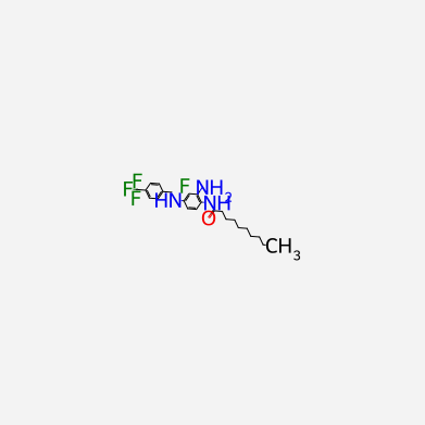 CCCCCCCCCC(=O)Nc1ccc(NCc2ccc(C(F)(F)F)cc2)c(F)c1N